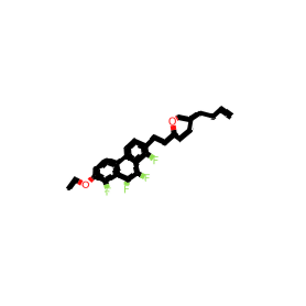 C=CCCC1CCC(CCc2ccc3c(c2F)C(F)C(F)c2c-3ccc(OCC)c2F)OC1